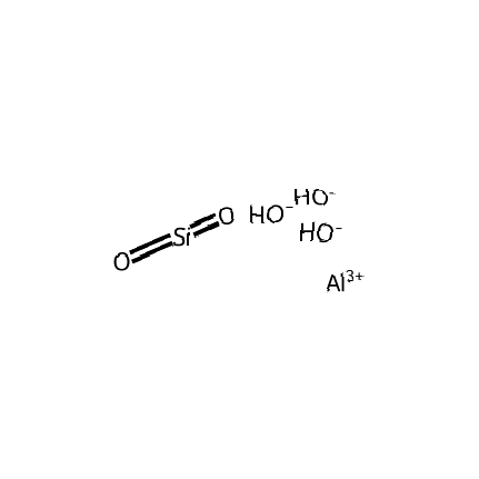 O=[Si]=O.[Al+3].[OH-].[OH-].[OH-]